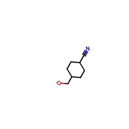 N#CC1CCC(C[O])CC1